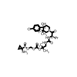 CC(C)[C@@H](NC(=O)NCC(C)(C)OC(=O)OCO[PH](=O)C1(N)CC1)C(=O)N1CC[C@](O)(c2ccc(Cl)cc2)C(C)(C)C1